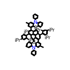 Cc1cc2c3c(c1)N(c1ccccc1)c1ccccc1B3c1cc3c(-c4c(C(C)C)cc(C(C)C)cc4C(C)C)cc4c5c(cc6c(-c7c(C(C)C)cc(C(C)C)cc7C(C)C)cc-2c1c6c35)B1c2ccccc2N(c2ccccc2)c2cc(C)cc-4c21